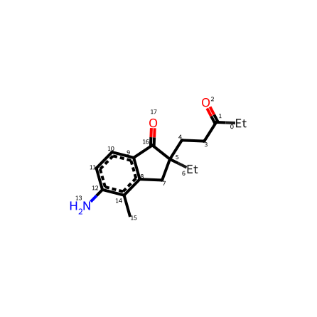 CCC(=O)CCC1(CC)Cc2c(ccc(N)c2C)C1=O